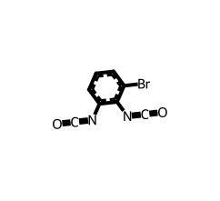 O=C=Nc1cccc(Br)c1N=C=O